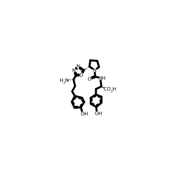 N[C@@H](CCc1ccc(O)cc1)c1nnc([C@@H]2CCCN2C(=O)N[C@@H](Cc2ccc(O)cc2)C(=O)O)o1